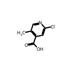 Cc1cnc(Cl)cc1C(=O)O